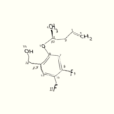 C=CC[C@H](C)Oc1cc(F)c(F)cc1CO